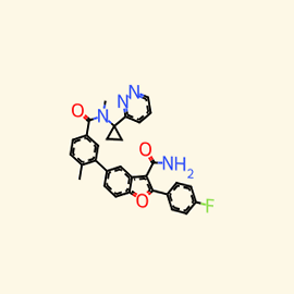 Cc1ccc(C(=O)N(C)C2(c3cccnn3)CC2)cc1-c1ccc2oc(-c3ccc(F)cc3)c(C(N)=O)c2c1